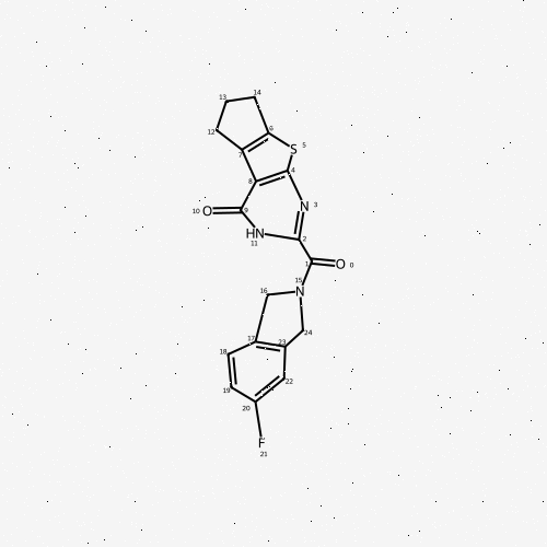 O=C(c1nc2sc3c(c2c(=O)[nH]1)CCC3)N1Cc2ccc(F)cc2C1